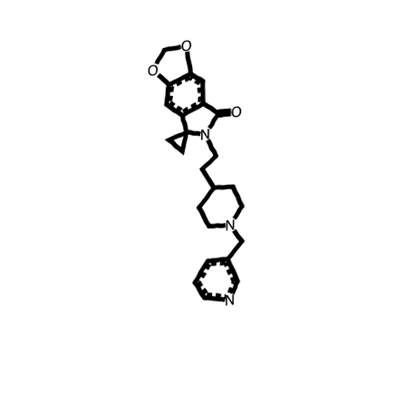 O=C1c2cc3c(cc2C2(CC2)N1CCC1CCN(Cc2cccnc2)CC1)OCO3